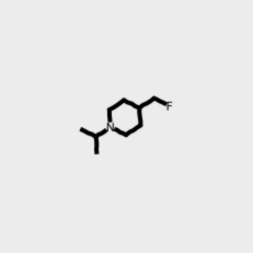 CC(C)N1CCC(CF)CC1